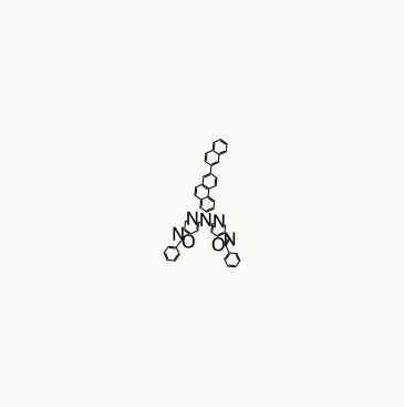 c1ccc(-c2nc3cnc(N(c4ccc5c(ccc6cc(-c7ccc8ccccc8c7)ccc65)c4)c4cc5oc(-c6ccccc6)nc5cn4)cc3o2)cc1